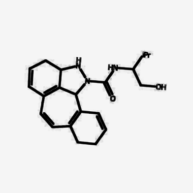 CC(C)C(CO)NC(=O)N1NC2CC=CC3=C2C1C1=C(C=C3)CCC=C1